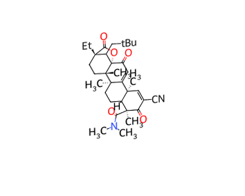 CC[C@@]12CC[C@@]3(C)[C@]4(C)CC[C@H]5[C@](C)(C(=O)N(C)C)C(=O)C(C#N)=C[C@]5(C)C4=CC(=O)[C@]3(OC1=O)C2CC(C)(C)C